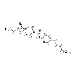 CCCCCc1ccc(OC(=O)C2CCC(C#N)(CCCC)CC2)cc1